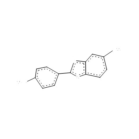 COc1ccc(-c2nc3ccc(SC)cc3s2)cc1